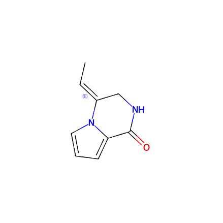 C/C=C1\CNC(=O)c2cccn21